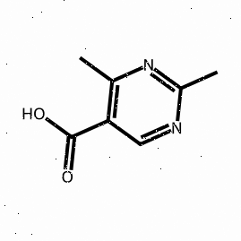 Cc1ncc(C(=O)O)c(C)n1